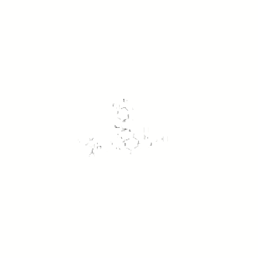 O=C(O)Nc1ccc2c(c1)N(S(=O)(=O)c1ccc(F)c(Cl)c1)CC(CNC(=O)C1(O)CC1)O2